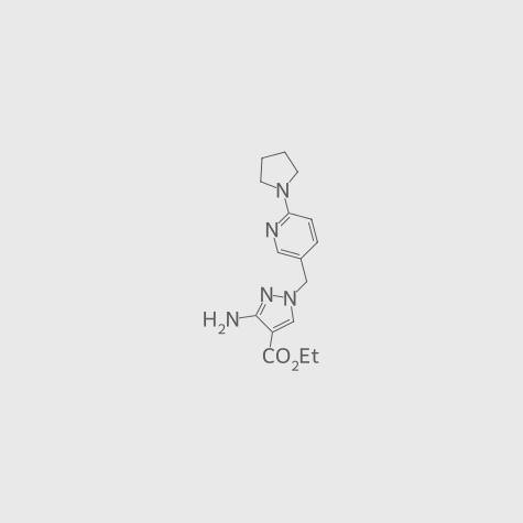 CCOC(=O)c1cn(Cc2ccc(N3CCCC3)nc2)nc1N